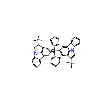 CC(C)(C)c1cn2c3ccccc3c3cc([Si](c4ccccc4)(c4ccccc4)c4cc5c6c(c4)c4ccccc4n6CC5C(C)(C)C)cc1c32